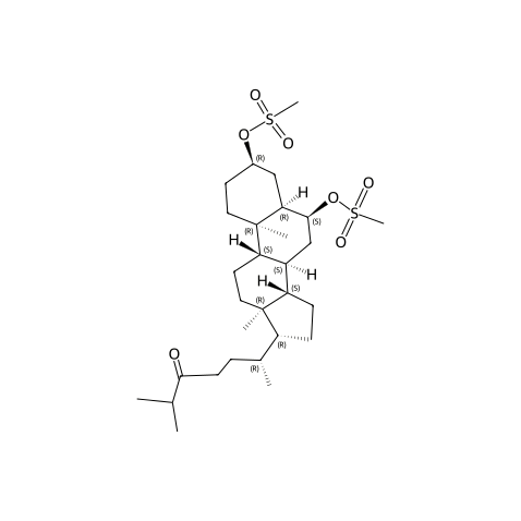 CC(C)C(=O)CC[C@@H](C)[C@H]1CC[C@H]2[C@@H]3C[C@H](OS(C)(=O)=O)[C@@H]4C[C@H](OS(C)(=O)=O)CC[C@]4(C)[C@H]3CC[C@]12C